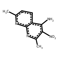 Cc1ccc2c(N)c([N+](=O)[O-])c(C)nc2n1